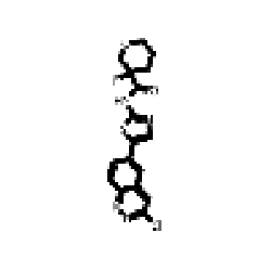 O=C(Nc1ncc(-c2ccc3nnc(Cl)cc3c2)s1)C1(F)CCCOC1